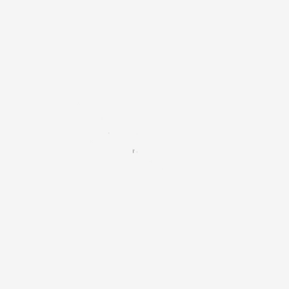 Cc1ccc(S(=O)(=O)Nc2ccccc2C(C)(O)c2cccc(C)c2)cc1